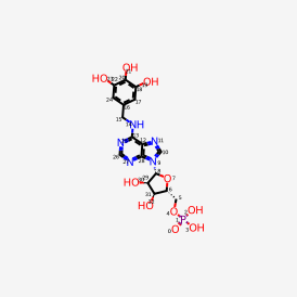 O=P(O)(O)OC[C@H]1O[C@@H](n2cnc3c(NCc4cc(O)c(O)c(O)c4)ncnc32)[C@H](O)[C@@H]1O